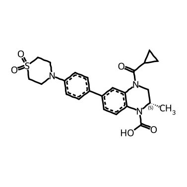 C[C@H]1CN(C(=O)C2CC2)c2cc(-c3ccc(N4CCS(=O)(=O)CC4)cc3)ccc2N1C(=O)O